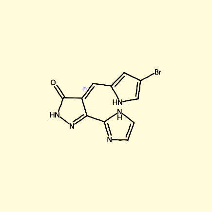 O=C1NN=C(c2ncc[nH]2)/C1=C\c1cc(Br)c[nH]1